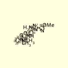 COc1cncc(-c2cnc(N)c(-c3ccc(NC(=O)c4c(C)n(C)n(-c5ccccc5)c4=O)cc3)n2)c1